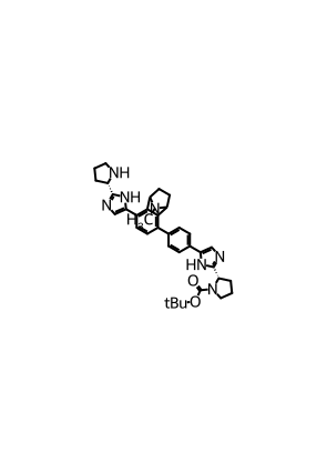 CN1C2CCC1c1c(-c3cnc([C@@H]4CCCN4)[nH]3)ccc(-c3ccc(-c4cnc([C@@H]5CCCN5C(=O)OC(C)(C)C)[nH]4)cc3)c12